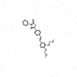 COCOc1ccc(/C=C/c2ccc(C3=NN(c4ccccc4)C(=O)C3)cc2)cc1OCOC